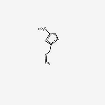 C=CCc1ncc(C(=O)O)s1